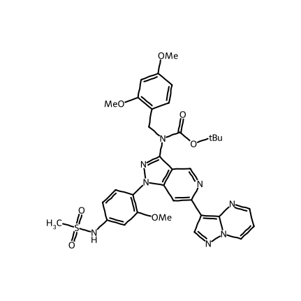 COc1ccc(CN(C(=O)OC(C)(C)C)c2nn(-c3ccc(NS(C)(=O)=O)cc3OC)c3cc(-c4cnn5cccnc45)ncc23)c(OC)c1